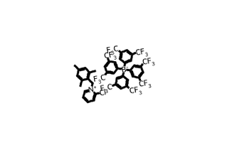 Cc1cc(C)c(C[n+]2ccccc2Cl)c(C)c1.FC(F)(F)c1cc([B-](c2cc(C(F)(F)F)cc(C(F)(F)F)c2)(c2cc(C(F)(F)F)cc(C(F)(F)F)c2)c2cc(C(F)(F)F)cc(C(F)(F)F)c2)cc(C(F)(F)F)c1